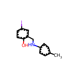 Cc1ccc(NCc2cc(I)ccc2O)cc1